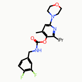 Cc1cc(N2CCOCC2)nc(C(C)C)c1OC(=O)NCc1ccc(F)c(F)c1